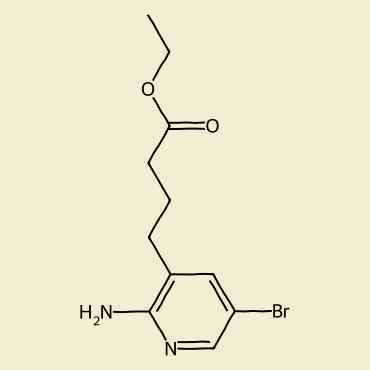 CCOC(=O)CCCc1cc(Br)cnc1N